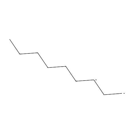 [CH2]C[CH]CCCCCC